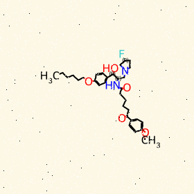 CCCCCCOc1ccc([C@@H](O)[C@@H](CN2CC[C@@H](F)C2)NC(=O)CCCCC(=O)c2ccc(OC)cc2)cc1